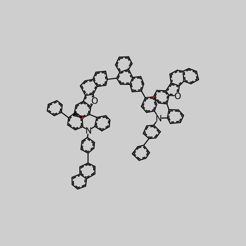 c1ccc(-c2ccc(N(c3ccc(-c4ccc5c(c4)cc(-c4ccc6ccc7c8cccc(-c9ccccc9N(c9ccc(-c%10ccccc%10)cc9)c9ccc(-c%10ccc%11ccccc%11c%10)cc9)c8oc7c6c4)c4ccccc45)cc3)c3ccccc3-c3cccc4c3oc3c5ccccc5ccc43)cc2)cc1